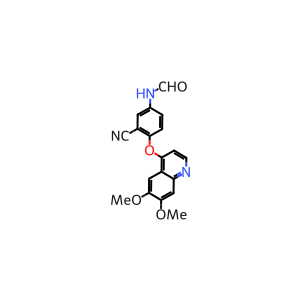 COc1cc2nccc(Oc3ccc(NC=O)cc3C#N)c2cc1OC